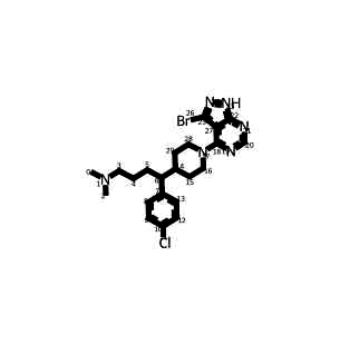 CN(C)CCCC(c1ccc(Cl)cc1)C1CCN(c2ncnc3[nH]nc(Br)c23)CC1